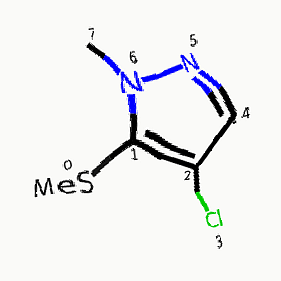 CSc1c(Cl)[c]nn1C